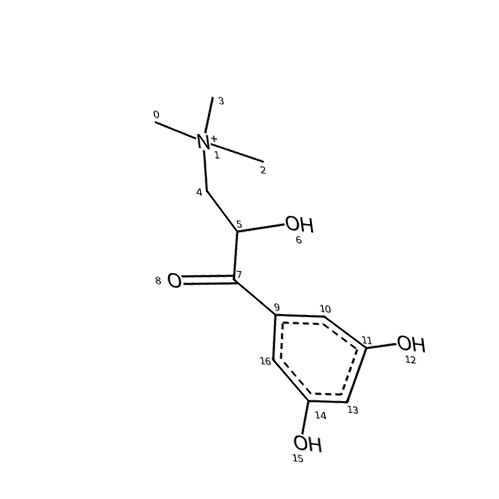 C[N+](C)(C)CC(O)C(=O)c1cc(O)cc(O)c1